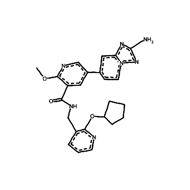 COc1ncc(-c2ccn3nc(N)nc3c2)cc1C(=O)NCc1cccnc1OC1CCCC1